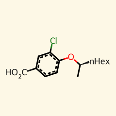 CCCCCC[C@@H](C)Oc1ccc(C(=O)O)cc1Cl